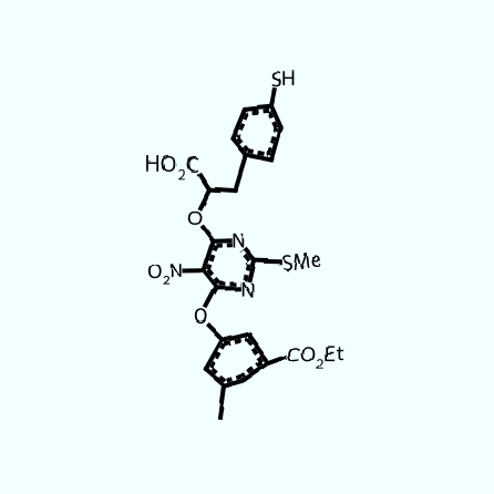 CCOC(=O)c1cc(C)cc(Oc2nc(SC)nc(OC(Cc3ccc(S)cc3)C(=O)O)c2[N+](=O)[O-])c1